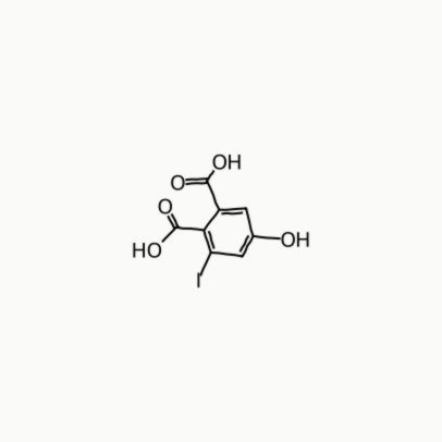 O=C(O)c1cc(O)cc(I)c1C(=O)O